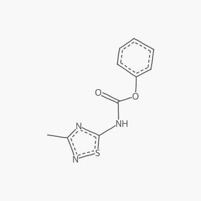 Cc1nsc(NC(=O)Oc2ccccc2)n1